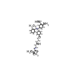 CC/C(=C(/c1ccc(OCCCNC/C=C/C(=O)N(C)C)cc1)c1ccc(N)c(C=N)c1)c1ccccc1